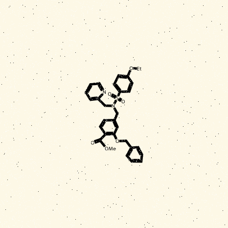 CCOc1ccc(S(=O)(=O)N(Cc2ccc(C(=O)OC)c(OCc3ccccc3)c2)Cc2ccccn2)cc1